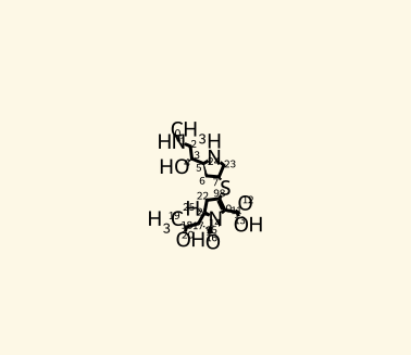 CNC[C@@H](O)[C@@H]1C[C@H](SC2=C(C(=O)O)N3C(=O)[C@H]([C@@H](C)O)[C@H]3C2)CN1